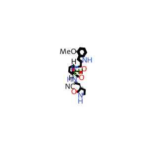 COc1cccc2[nH]c(C(=O)N3[C@H]4CC[C@@H]([C@H]3C(=O)N[C@@H](C#N)C[C@H]3CCNC3=O)C(F)(F)C4)cc12